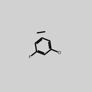 CC.Fc1cccc(Cl)c1